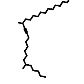 [CH2]CCCCCCCCCCCCC(C)C#CCCCCCCC(C)CCCC[CH2]